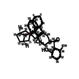 Cc1nc2ccccc2n1[C@H]1C[C@H]2CC[C@@H](C1)N2CCC1(c2ccccc2)CCN(C(=O)c2c(O)cccc2F)CC1